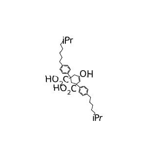 CC(C)CCCCCc1ccc(C2(C(=O)O)C=C(O)CC(C(=O)O)(c3ccc(CCCCCC(C)C)cc3)C2)cc1